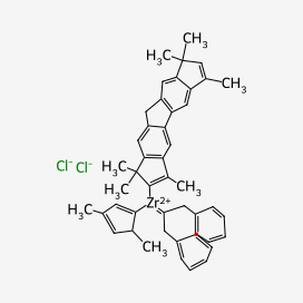 CC1=CC(C)[C]([Zr+2]([C]2=C(C)c3cc4c(cc3C2(C)C)Cc2cc3c(cc2-4)C(C)=CC3(C)C)=[C](Cc2ccccc2)Cc2ccccc2)=C1.[Cl-].[Cl-]